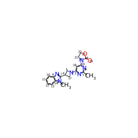 Cc1nc(N2CC(c3nc4ccccc4n3C)C2)cc(N2CCOC2=O)n1